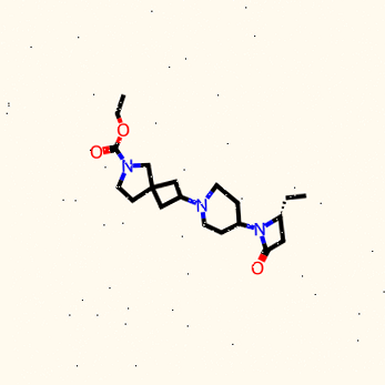 CCOC(=O)N1CCC2(CC(N3CCC(N4C(=O)C[C@H]4CC)CC3)C2)C1